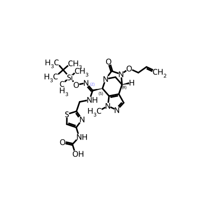 C=CCON1C(=O)N2C[C@H]1c1cnn(C)c1[C@H]2/C(=N/O[Si](C)(C)C(C)(C)C)NCc1nc(NC(=O)O)cs1